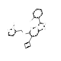 Cn1nccc1COc1nn2c(-c3ccccc3F)nnc2cc1C1=CC=C1